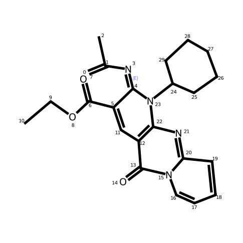 C=C(C)/N=c1\c(C(=O)OCC)cc2c(=O)n3ccccc3nc2n1C1CCCCC1